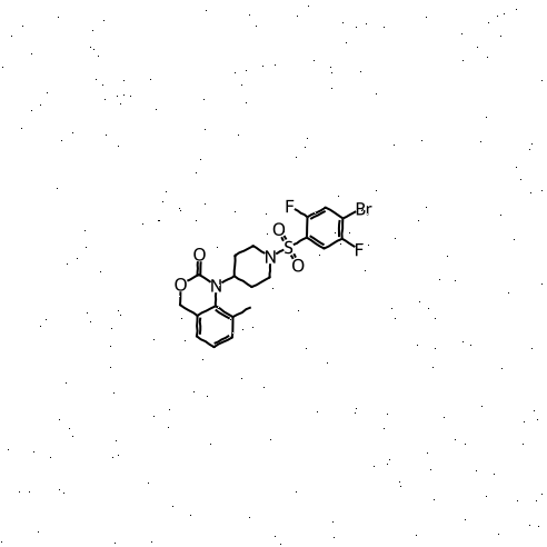 Cc1cccc2c1N(C1CCN(S(=O)(=O)c3cc(F)c(Br)cc3F)CC1)C(=O)OC2